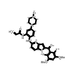 C=CC(=O)Nc1cc(N2CCN(CC)CC2)ccc1Nc1ccc2sc(C(=O)c3c(F)c(OC)cc(OC)c3F)cc2n1